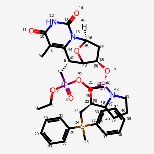 CCOP(=O)(C[C@@H]1c2c(C)c(=O)[nH]c(=O)n2[C@H]2C[C@@H](O[P@@]3O[C@H](CS(C)(c4ccccc4)c4ccccc4)[C@@H]4CCCN43)C1O2)OCC